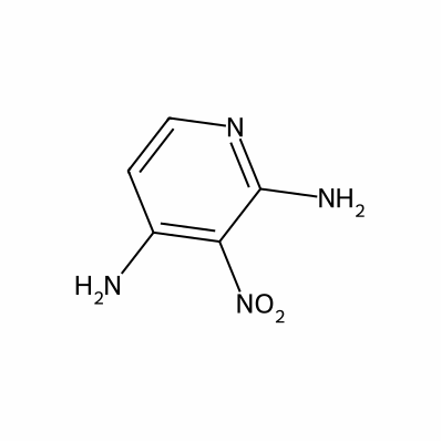 Nc1ccnc(N)c1[N+](=O)[O-]